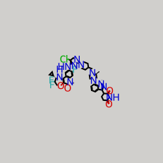 C[C@H]1CN(c2cccc3c(C4CCC(=O)NC4=O)nn(C)c23)CCN1CC1CCN(c2ncc(Cl)c(Nc3cc4c5c(c(=O)n(C)c4cc3F)OCC(F)(F)[C@H](C3CC3)N5)n2)CC1